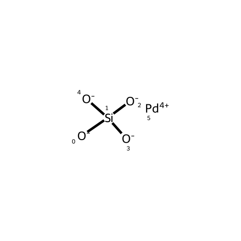 [O-][Si]([O-])([O-])[O-].[Pd+4]